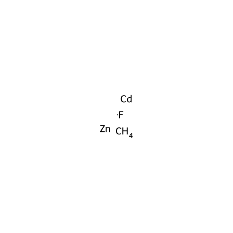 C.[Cd].[F].[Zn]